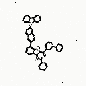 c1ccc(-c2cccc(-c3nc(-c4ccccc4)nc4c3oc3c(-c5ccc6cc(-n7c8ccccc8c8ccccc87)ccc6c5)cccc34)c2)cc1